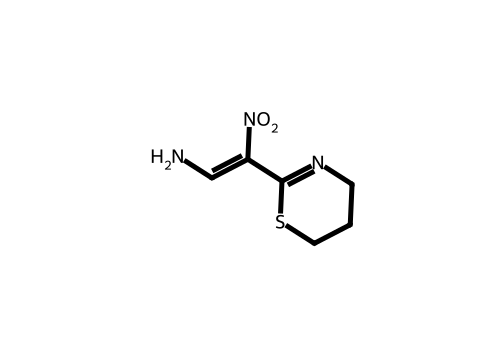 NC=C(C1=NCCCS1)[N+](=O)[O-]